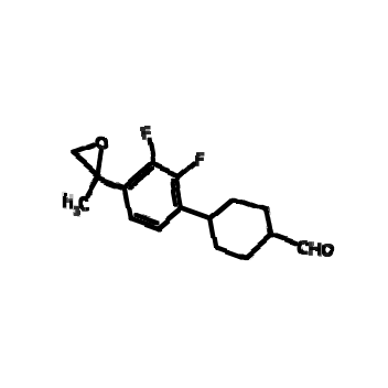 CC1(c2ccc(C3CCC(C=O)CC3)c(F)c2F)CO1